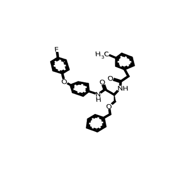 Cc1cccc(CC(=O)N[C@@H](COCc2ccccc2)C(=O)Nc2ccc(Oc3ccc(F)cc3)cc2)c1